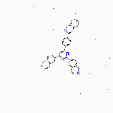 c1ccc2cc(-c3ccc(-c4cc(-c5ccc6cnccc6c5)nc(-c5ccc6cnccc6c5)n4)cc3)ncc2c1